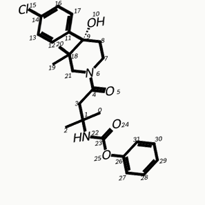 CC(C)(CC(=O)N1CC[C@](O)(c2ccc(Cl)cc2)C(C)(C)C1)NC(=O)Oc1ccccc1